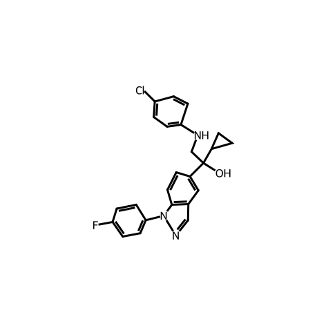 OC(CNc1ccc(Cl)cc1)(c1ccc2c(cnn2-c2ccc(F)cc2)c1)C1CC1